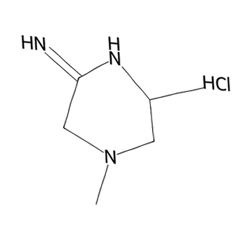 CC1CN(C)CC(=N)N1.Cl